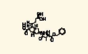 CC(NC(=O)OCc1ccccc1)C(=O)N[C@H]1C[C@@H]2C[C@@](N)(C(=O)O)[C@@H](CCCB(O)O)[C@@H]2C1